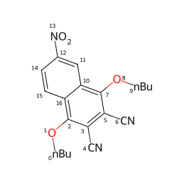 CCCCOc1c(C#N)c(C#N)c(OCCCC)c2cc([N+](=O)[O-])ccc12